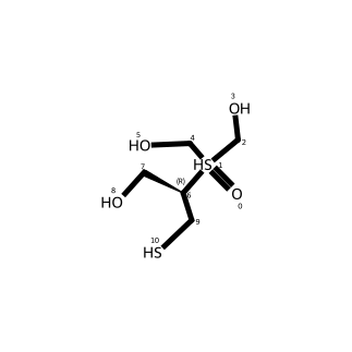 O=[SH](CO)(CO)[C@H](CO)CS